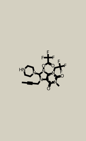 CC#CCN1c2c(n(CC(F)(F)F)c(=O)n(C)c2=O)N(OC(=O)C(F)(F)F)C1N1CCNCC1